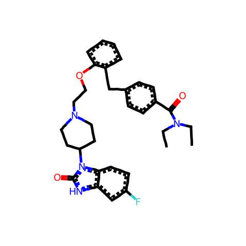 CCN(CC)C(=O)c1ccc(Cc2ccccc2OCCN2CCC(n3c(=O)[nH]c4cc(F)ccc43)CC2)cc1